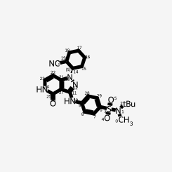 CN(C(C)(C)C)S(=O)(=O)c1ccc(Nc2nn([C@H]3CCCCC3C#N)c3cc[nH]c(=O)c23)cc1